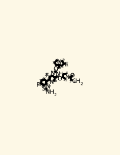 C=CC(=O)N1CCC(Oc2nc(OCC34CCCN3CC(F)C4)nc3c(F)c(-c4ccc(F)c5sc(N)nc45)ncc23)C1